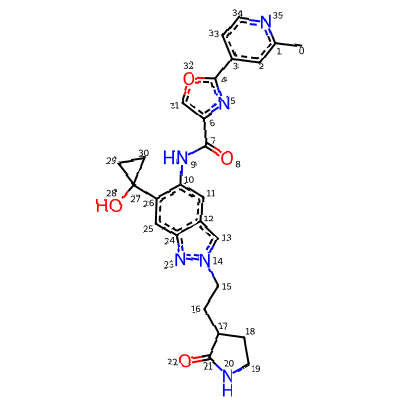 Cc1cc(-c2nc(C(=O)Nc3cc4cn(CCC5CCNC5=O)nc4cc3C3(O)CC3)co2)ccn1